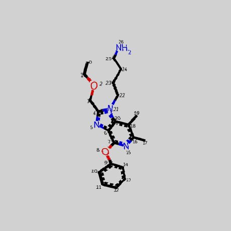 CCOCc1nc2c(Oc3ccccc3)nc(C)c(C)c2n1CCCCN